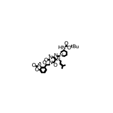 CC(C)=CCn1c(N2CCCC(NC(=O)OC(C)(C)C)C2)nc2c1c(=O)n(CC(=O)c1cccc3oc(=O)n(C)c13)c(=O)n2C